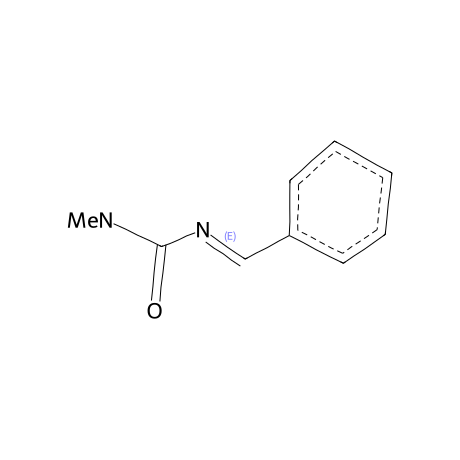 CNC(=O)/N=C/c1ccccc1